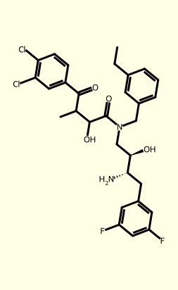 CCc1cccc(CN(C[C@@H](O)[C@@H](N)Cc2cc(F)cc(F)c2)C(=O)C(O)C(C)C(=O)c2ccc(Cl)c(Cl)c2)c1